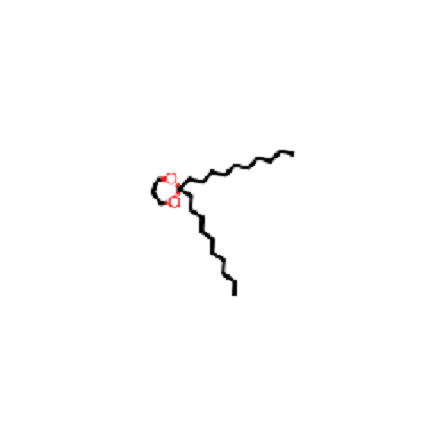 CCCCCCCCCCC1(CCCCCCCCCC)OCCCO1